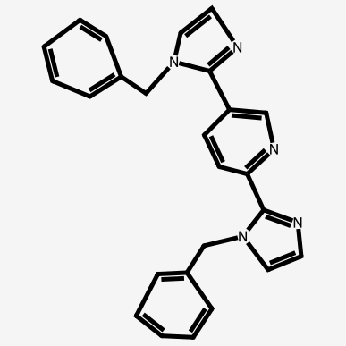 c1ccc(Cn2ccnc2-c2ccc(-c3nccn3Cc3ccccc3)nc2)cc1